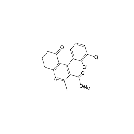 COC(=O)c1c(C)nc2c(c1-c1cccc(Cl)c1Cl)C(=O)CCC2